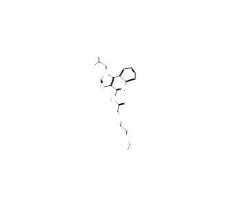 CCOCCOCC(=O)Nc1nc2ccccc2c2c1ncn2CC(C)C